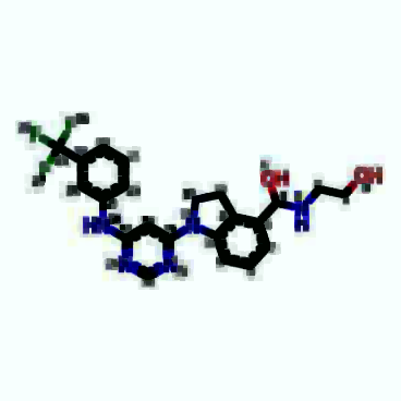 OCCNC(O)c1cccc2c1CCN2c1cc(Nc2cccc(C(F)(F)F)c2)ncn1